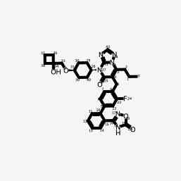 CCCc1c(Cc2ccc(-c3ccccc3-c3noc(=O)[nH]3)cc2F)c(=O)n([C@H]2CC[C@H](OCC3(O)CCC3)CC2)c2ncnn12